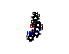 COC(=O)C1=C(c2ccc(C)cc2)CC[C@H]2CN3CCc4c([nH]c5ccccc45)[C@@H]3C[C@H]12